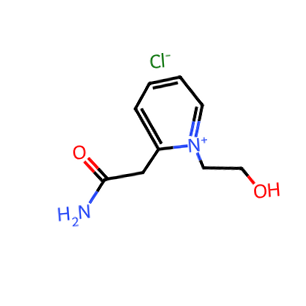 NC(=O)Cc1cccc[n+]1CCO.[Cl-]